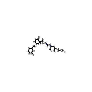 C=C/C(=C\C(Cl)=C\NC(=O)c1cc(OCc2cccc(F)c2)ccc1Cl)CC(=O)OCC